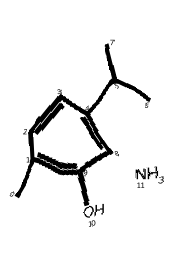 Cc1ccc(C(C)C)cc1O.N